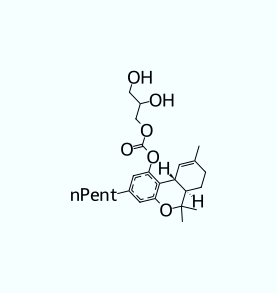 CCCCCc1cc(OC(=O)OCC(O)CO)c2c(c1)OC(C)(C)[C@@H]1CCC(C)=C[C@@H]21